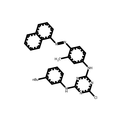 CCCCc1cccc(Nc2nc(Cl)nc(Nc3ccc(N=Nc4cccc5ccccc45)c(C)c3)n2)c1